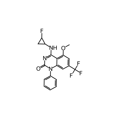 COc1cc(C(F)(F)F)cc2c1c(NC1CC1F)nc(=O)n2-c1ccccc1